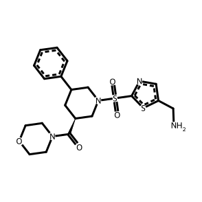 NCc1cnc(S(=O)(=O)N2CC(c3ccccc3)C[C@H](C(=O)N3CCOCC3)C2)s1